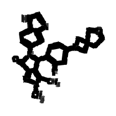 Cc1c2c(nn1C)C(=O)N(c1ccc3[nH]cnc3c1)C2c1ccc(N2CC3(CCOC3)C2)cc1F